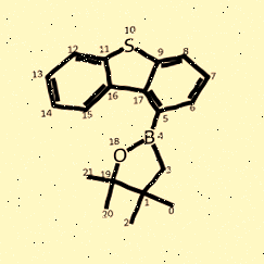 CC1(C)CB(c2cccc3sc4ccccc4c23)OC1(C)C